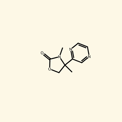 CN1C(=O)OCC1(C)c1cnccn1